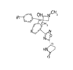 CC(C)c1ccc([C@](O)(c2cncc(-c3noc([C@@H]4CCC(=O)N4)n3)c2)C2(C)CN(C)C2)cc1